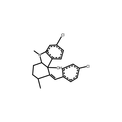 CC1CCC(N(C)C)C(O)(c2ccc(Cl)cc2)C1=Cc1ccc(Cl)cc1